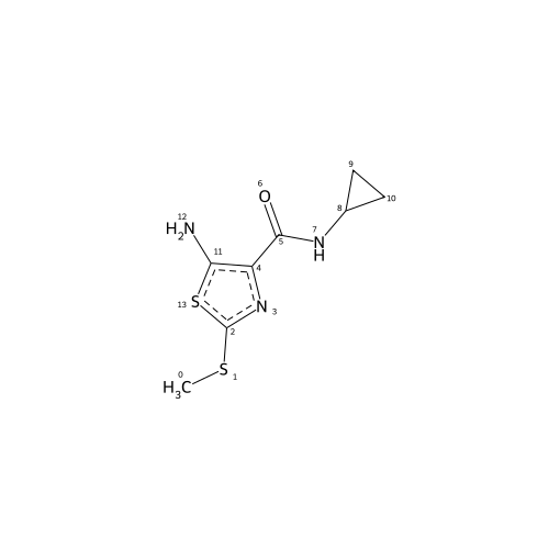 CSc1nc(C(=O)NC2CC2)c(N)s1